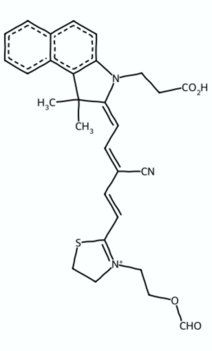 CC1(C)\C(=C/C=C(C#N)/C=C/C2=[N+](CCOC=O)CCS2)N(CCC(=O)O)c2ccc3ccccc3c21